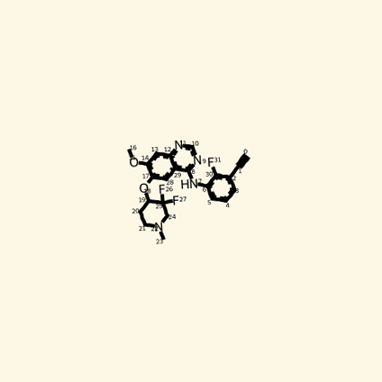 C#Cc1cccc(Nc2ncnc3cc(OC)c(OC4CCN(C)CC4(F)F)cc23)c1F